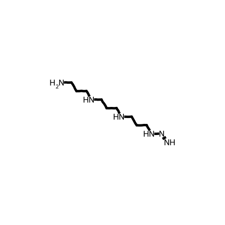 N=NNCCCNCCCNCCCN